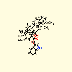 COC1C(C=O)C(O)(C(=O)Oc2c[nH]c3ccccc23)[C@]2(C)[C@H]3CC[C@@H]4[C@@H]5[C@@H](C)[C@H](C)CC[C@]5(C)CC[C@@]4(C)[C@]3(C)CC[C@@]2(OC)C1(C)C